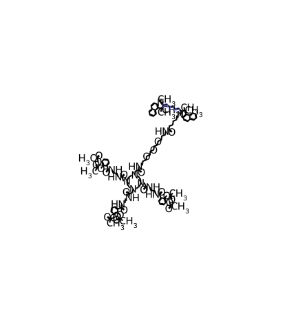 CC(=O)Oc1cccc(C(=O)NCCNC(=O)CN2CCN(CC(=O)NCCCOCCOCCOCCCNC(=O)CCCCC[N+]3=C(/C=C/C=C/C=C4/N(C)c5ccc6ccccc6c5C4(C)C)C(C)(C)c4c3ccc3ccccc43)CCN(CC(=O)NCCNC(=O)c3cccc(OC(C)=O)c3OC(C)=O)CCN(CC(=O)NCCNC(=O)c3cccc(OC(C)=O)c3OC(C)=O)CC2)c1OC(C)=O